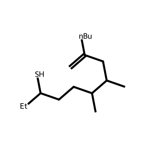 C=C(CCCC)CC(C)C(C)CCC(S)CC